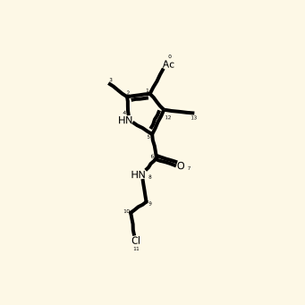 CC(=O)c1c(C)[nH]c(C(=O)NCCCl)c1C